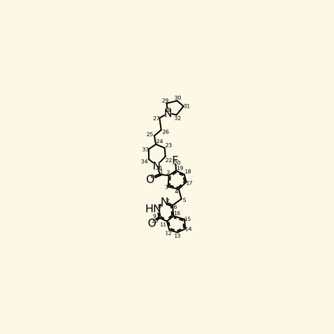 O=C(c1cc(Cc2n[nH]c(=O)c3ccccc23)ccc1F)N1CCC(CCCN2CCCC2)CC1